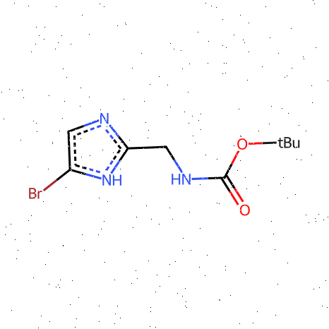 CC(C)(C)OC(=O)NCc1ncc(Br)[nH]1